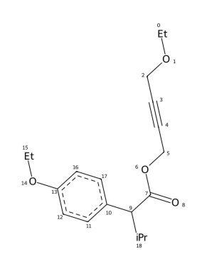 CCOCC#CCOC(=O)C(c1ccc(OCC)cc1)C(C)C